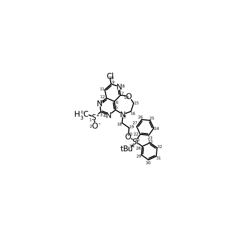 C[S+]([O-])c1nc2c3c(nc(Cl)cc3n1)OCCN2CCO[Si](c1ccccc1)(c1ccccc1)C(C)(C)C